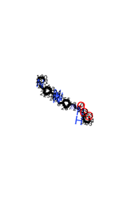 O=C(/C=C/c1ccc(Cn2cc(-c3ccc(CN4CCCC4)cc3)nn2)cc1)NOC1CCCCO1